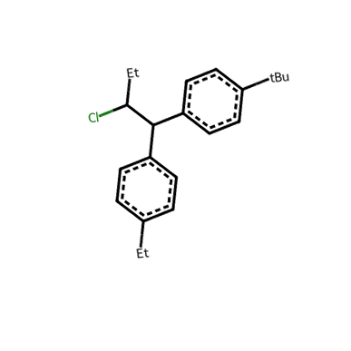 CCc1ccc(C(c2ccc(C(C)(C)C)cc2)C(Cl)CC)cc1